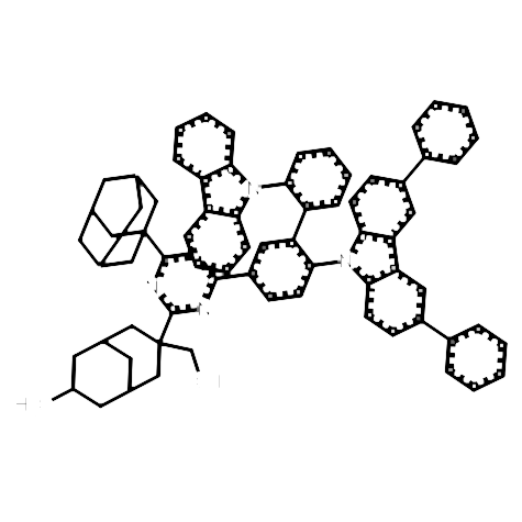 CCC1(c2nc(-c3ccc(-n4c5ccc(-c6ccccc6)cc5c5cc(-c6ccccc6)ccc54)c(-c4ccccc4-n4c5ccccc5c5ccccc54)c3)nc(C34CC5CC(CC(C5)C3)C4)n2)CC2CC(C)CC(C2)C1